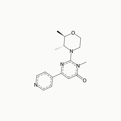 C[C@@H]1[C@@H](C)OCCN1c1nc(-c2ccncc2)cc(=O)n1C